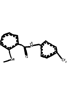 C[Se]c1ccccc1C(=O)Nc1ccc(C(F)(F)F)cc1